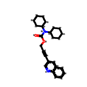 O=C(OCC#Cc1cnc2ccccc2c1)N(C1CCCCC1)C1CCCCC1